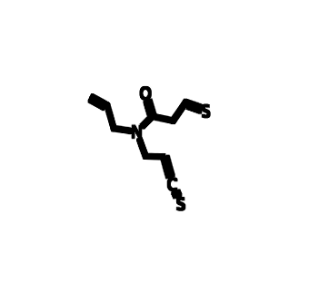 C=CCN(CC=C=S)C(=O)CC=S